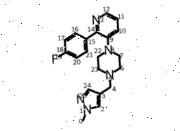 Cn1cc(CN2CCN(c3cccnc3-c3ccc(F)cc3)CC2)cn1